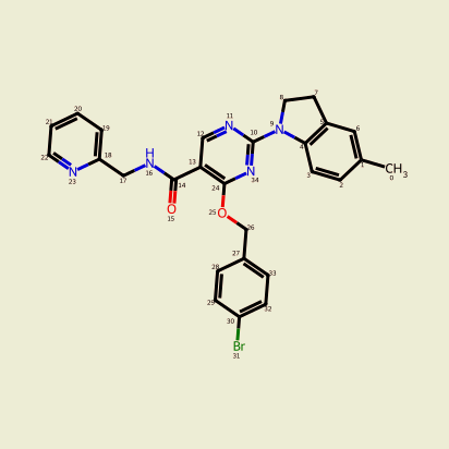 Cc1ccc2c(c1)CCN2c1ncc(C(=O)NCc2ccccn2)c(OCc2ccc(Br)cc2)n1